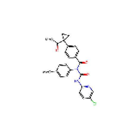 COC(=O)C1(c2ccc(C(=O)N(C(=O)Nc3ccc(Cl)cn3)c3ccc(OC)cc3)cc2)CC1